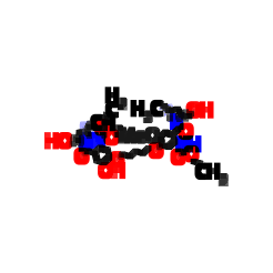 C=CCOC(=O)Nc1cc(OCCCCCOc2cc(NC(=O)OCC=C)c(C(=O)N3C/C(=C\C)C[C@H]3CO)cc2OC)c(O)cc1C(=O)N1C/C(=C\C)C[C@H]1CO